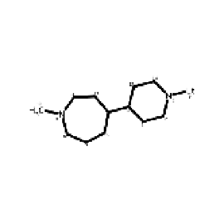 CCN1CCC(C2CCCN(C)CC2)CC1